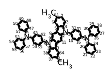 Cc1ccc2c(c1)c1cc3c(cc1n2-c1ccc(N(c2ccccc2)c2ccccc2)cc1)c1cc(C)ccc1n3-c1ccc(N(c2ccccc2)c2ccccc2)cc1